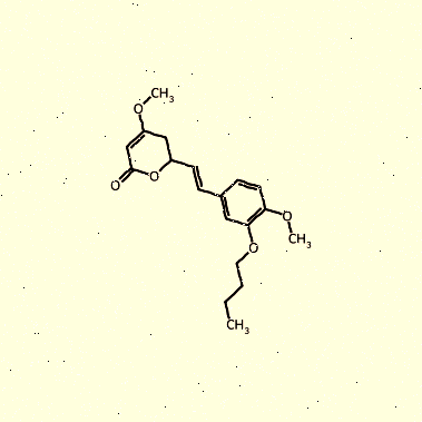 CCCCOc1cc(/C=C/C2CC(OC)=CC(=O)O2)ccc1OC